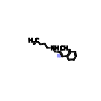 CCCCNC/C(C)=C/c1ccccc1